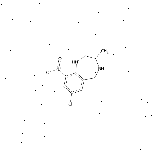 C[C@H]1CNc2c(cc(Cl)cc2[N+](=O)[O-])CN1